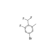 Cc1cc(Br)cc(F)c1C(F)F